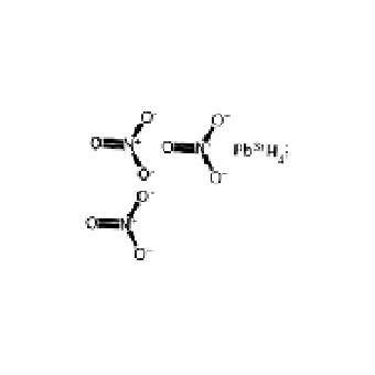 O=[N+]([O-])[O-].O=[N+]([O-])[O-].O=[N+]([O-])[O-].[PbH4+3]